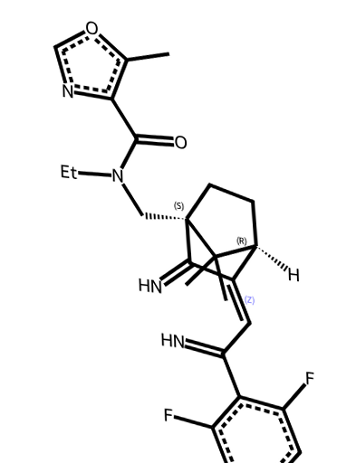 CCN(C[C@@]12CC[C@@H](/C(=C/C(=N)c3c(F)cccc3F)C1=N)C2(C)C)C(=O)c1ncoc1C